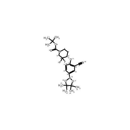 CC(C)(C)OC(=O)N1CC[C@H](Oc2ccc(B3OC(C)(C)C(C)(C)O3)cc2C#N)C(F)(F)C1